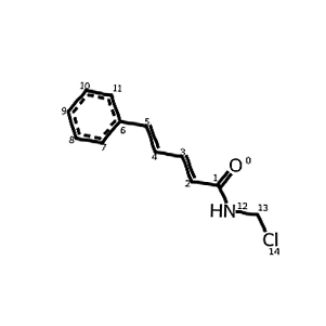 O=C(C=CC=Cc1ccccc1)NCCl